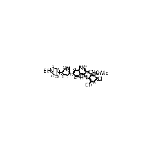 CCN1CCN(c2ccc(-c3ccc4c(Nc5cc(OC)c(Cl)cc5Cl)c(C#N)cnc4c3)nc2)CC1